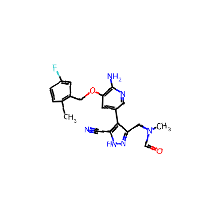 Cc1ccc(F)cc1COc1cc(-c2c(CN(C)C=O)n[nH]c2C#N)cnc1N